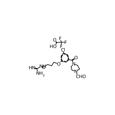 N=C(N)NOCCCOc1cc(Cl)cc(C(=O)N2CCN(C=O)CC2)c1.O=C(O)C(F)(F)F